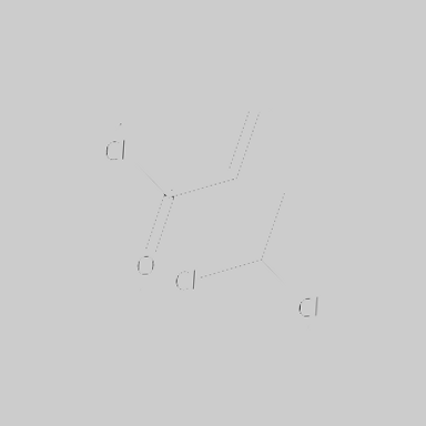 C=CC(=O)Cl.CC(Cl)Cl